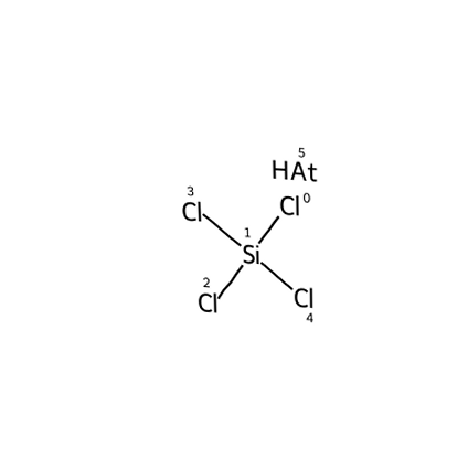 Cl[Si](Cl)(Cl)Cl.[AtH]